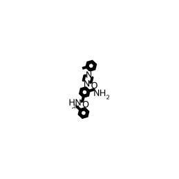 Cc1ccccc1N1CCN(c2ccc(C(=O)N[C@@H](C)c3ccccc3)cc2C(N)=O)CC1